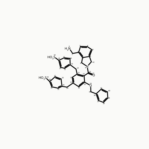 NCc1cccc2c1CN(C(=O)c1c(Cc3ccc(S(=O)(=O)O)cc3)cc(Cc3ccc(S(=O)(=O)O)cc3)cc1OCc1ccccc1)C2